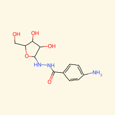 Nc1ccc(C(=O)NNC2OC(CO)C(O)C2O)cc1